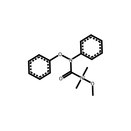 CO[N+](C)(C)C(=O)N(Oc1ccccc1)c1ccccc1